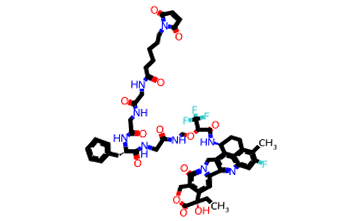 CC[C@@]1(O)C(=O)OCc2c1cc1n(c2=O)Cc2c-1nc1cc(F)c(C)c3c1c2[C@@H](NC(=O)C(OCNC(=O)CNC(=O)[C@H](Cc1ccccc1)NC(=O)CNC(=O)CNC(=O)CCCCCN1C(=O)C=CC1=O)C(F)(F)F)CC3